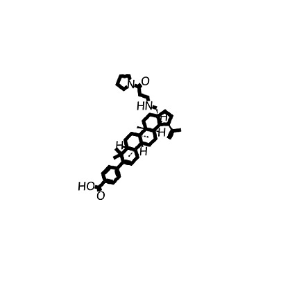 C=C(C)[C@@H]1CC[C@]2(CNCCC(=O)N3CCCC3)CC[C@]3(C)[C@H](CC[C@@H]4[C@@]5(C)CC=C(c6ccc(C(=O)O)cc6)C(C)(C)[C@@H]5CC[C@]43C)[C@@H]12